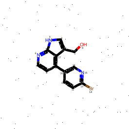 OCc1c[nH]c2nccc(-c3ccc(Br)nc3)c12